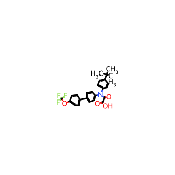 CC(C)(C)c1ccc(N(C(=O)C(=O)O)c2ccc(-c3ccc(OC(F)(F)F)cc3)cc2)cc1